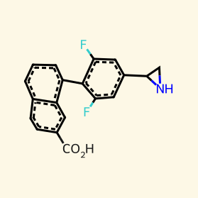 O=C(O)c1ccc2cccc(-c3c(F)cc(C4CN4)cc3F)c2c1